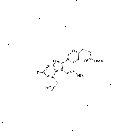 COC(=O)N(C)Cc1ccc(-c2[nH]c3cc(F)cc(CC(=O)O)c3c2/C=C/[N+](=O)[O-])cc1